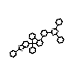 c1ccc(-c2nc(-c3ccccc3)nc(-c3cccc(-c4cccc5c4-c4ccccc4C5(c4ccccc4)c4ccc5oc(-c6ccccc6)nc5c4)c3)n2)cc1